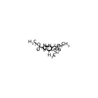 CCOC(=O)c1cn2ccc(CP(=O)(OCC)OCC)nc2n1